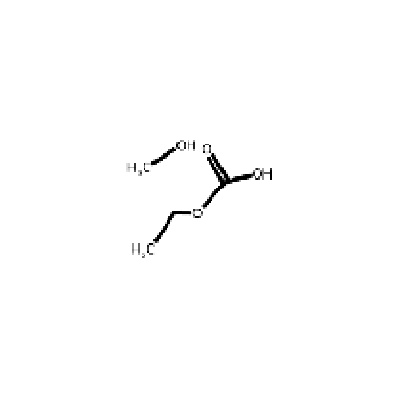 CCOC(=O)O.CO